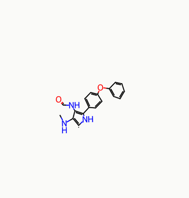 CNc1[c][nH]c(-c2ccc(Oc3ccccc3)cc2)c1NC=O